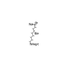 CCCCCCCCCCCCCCC[C](=O)[Na].[Na]